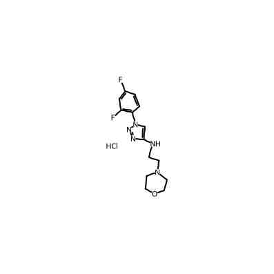 Cl.Fc1ccc(-n2cc(NCCN3CCOCC3)nn2)c(F)c1